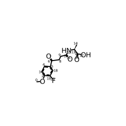 COc1ccc(C(=O)CCC(=O)N[C@@H](C)C(=O)O)cc1F